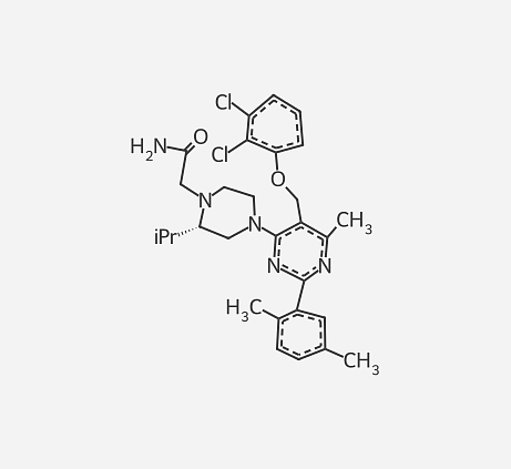 Cc1ccc(C)c(-c2nc(C)c(COc3cccc(Cl)c3Cl)c(N3CCN(CC(N)=O)[C@@H](C(C)C)C3)n2)c1